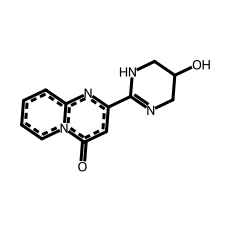 O=c1cc(C2=NCC(O)CN2)nc2ccccn12